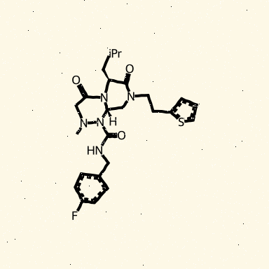 CC(C)C[C@H]1C(=O)N(CCc2cccs2)C[C@H]2N1C(=O)CN(C)N2C(=O)NCc1ccc(F)cc1